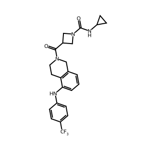 O=C(NC1CC1)N1CC(C(=O)N2CCc3c(cccc3Nc3ccc(C(F)(F)F)cc3)C2)C1